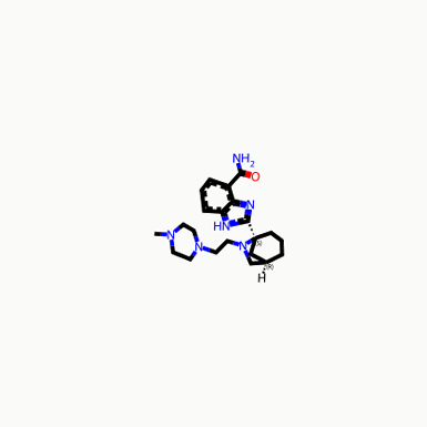 CN1CCN(CCN2C[C@@H]3CCC[C@@]2(c2nc4c(C(N)=O)cccc4[nH]2)C3)CC1